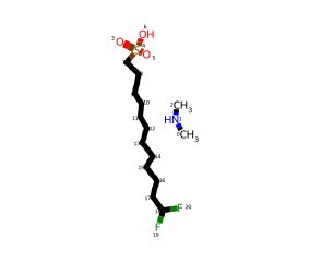 CNC.O=S(=O)(O)CCCCCCCCCCCC(F)F